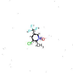 Cc1c(Cl)cc(C(F)(F)F)c[n+]1[O-]